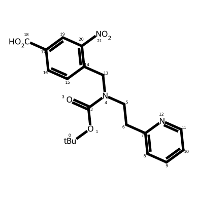 CC(C)(C)OC(=O)N(CCc1ccccn1)Cc1ccc(C(=O)O)cc1[N+](=O)[O-]